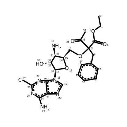 CCOC(=O)C(Cc1ccccc1)(OC[C@H]1O[C@@H](n2cnc3c(N)nc(Cl)nc32)[C@H](O)[C@H]1N)C(C)=O